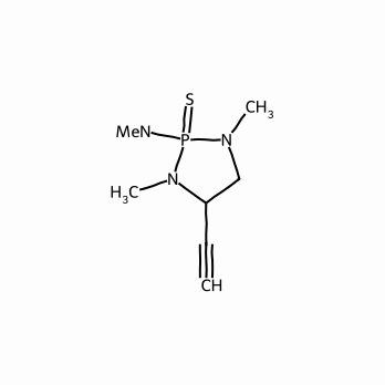 C#CC1CN(C)P(=S)(NC)N1C